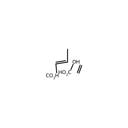 C=C.CC=CC(=O)O.O=C(O)O